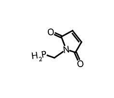 O=C1C=CC(=O)N1CP